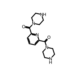 O=C(c1cccc(C(=O)N2CCNCC2)n1)N1CCNCC1